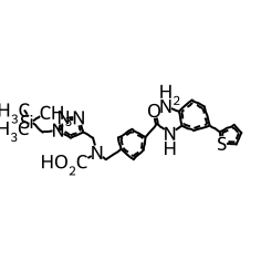 C[Si](C)(C)Cn1cc(CN(Cc2ccc(C(=O)Nc3cc(-c4cccs4)ccc3N)cc2)C(=O)O)nn1